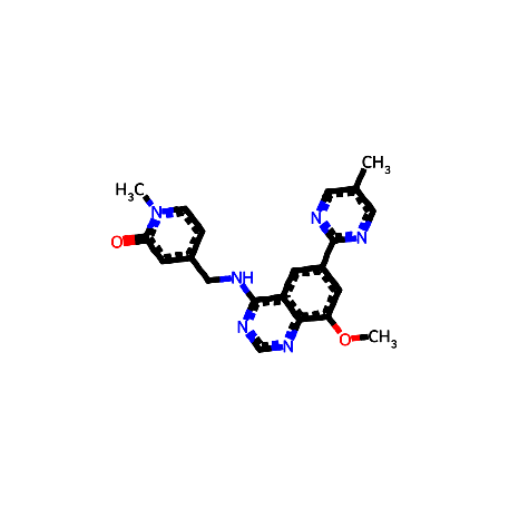 COc1cc(-c2ncc(C)cn2)cc2c(NCc3ccn(C)c(=O)c3)ncnc12